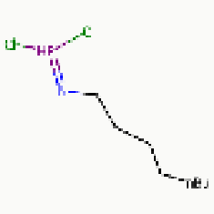 CCCCCCCCN=[PH](Cl)Cl